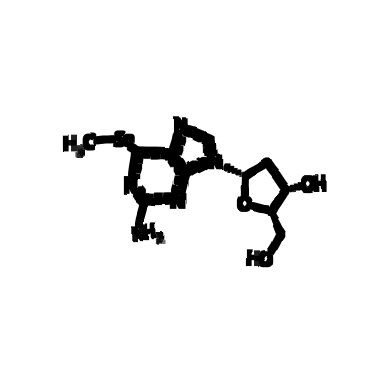 C[Se]c1nc(N)nc2c1ncn2[C@@H]1C[C@H](O)[C@@H](CO)O1